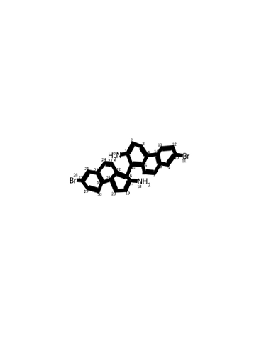 Nc1ccc2c(ccc3cc(Br)ccc32)c1-c1c(N)ccc2c1ccc1cc(Br)ccc12